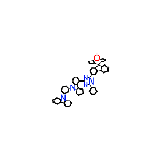 c1ccc(-c2nc(-c3ccc4c(c3)-c3ccccc3C43c4ccccc4Oc4ccccc43)nc(-c3cccc4c3c3ccccc3n4-c3cccc(-n4c5ccccc5c5ccccc54)c3)n2)cc1